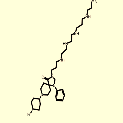 CC(C)[C@H]1CC[C@@H](N2CCC3(CC2)C(=O)N(CCCNCCNCCNCCCNCCN)CN3c2ccccc2)CC1